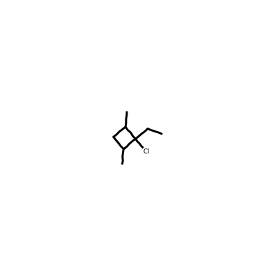 CCC1(Cl)[C](C)CC1C